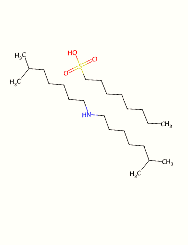 CC(C)CCCCCNCCCCCC(C)C.CCCCCCCCS(=O)(=O)O